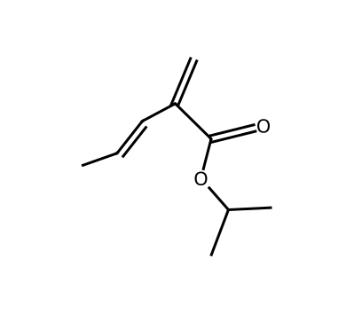 C=C(C=CC)C(=O)OC(C)C